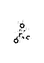 CC(C)CN(C[C@@H](O)[C@H](Cc1ccccc1)NC(=O)O[C@H]1CCOC1)[S+]([O-])c1ccc(F)c([N+](=O)[O-])c1